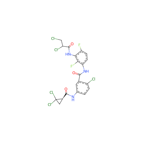 O=C(Nc1ccc(F)c(NC(=O)C(Cl)CCl)c1F)c1cc(NC(=O)[C@H]2CC2(Cl)Cl)ccc1Cl